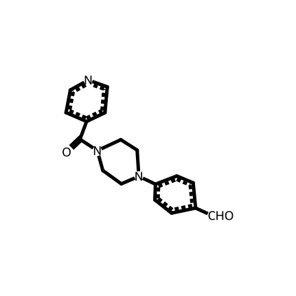 O=Cc1ccc(N2CCN(C(=O)c3ccncc3)CC2)cc1